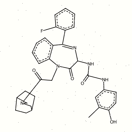 Cc1cc(NC(=O)NC2N=C(c3ccccc3F)c3ccccc3N(CC(=O)N3CC4CCC(CC4)C3)C2=O)ccc1O